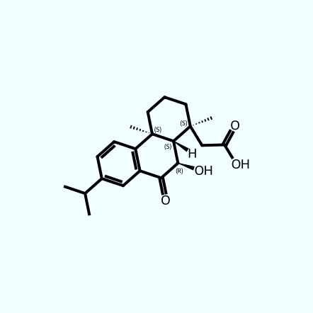 CC(C)c1ccc2c(c1)C(=O)[C@H](O)[C@H]1[C@](C)(CC(=O)O)CCC[C@]21C